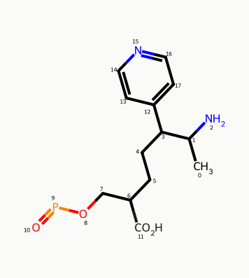 CC(N)C(CCC(COP=O)C(=O)O)c1ccncc1